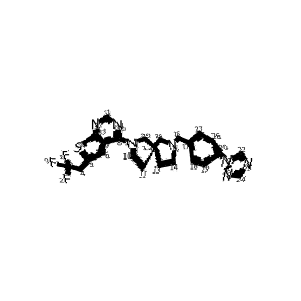 FC(F)(F)Cc1cc2c(N3CC[C@@]4(CCN(Cc5ccc(-n6cncn6)cc5)C4)C3)ncnc2s1